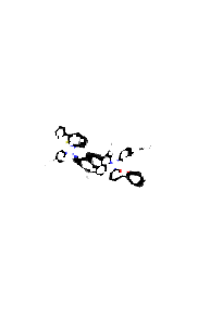 CC(C)c1ccc(N(c2cc(C(C)C)c3ccc4c(N(c5ccc(C(C)C)cc5)c5cccc6c5sc5ccccc56)cc(C(C)C)c5ccc2c3c54)c2cccc3c2oc2ccccc23)cc1